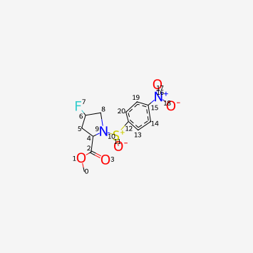 COC(=O)C1CC(F)CN1[S+]([O-])c1ccc([N+](=O)[O-])cc1